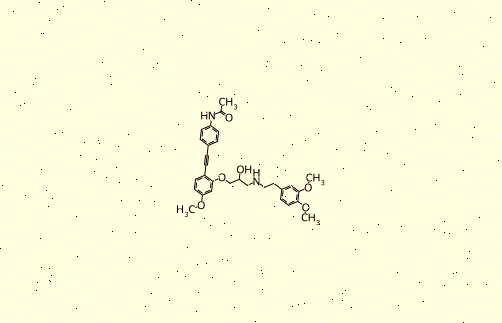 COc1ccc(C#Cc2ccc(NC(C)=O)cc2)c(OCC(O)CNCCc2ccc(OC)c(OC)c2)c1